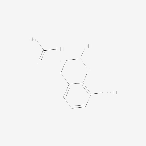 CCCC(=O)N[C@H]1Cc2cccc(C(=O)O)c2OB1O